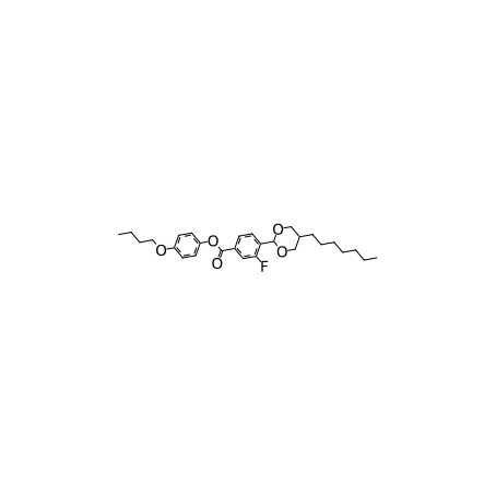 CCCCCCCC1COC(c2ccc(C(=O)Oc3ccc(OCCCC)cc3)cc2F)OC1